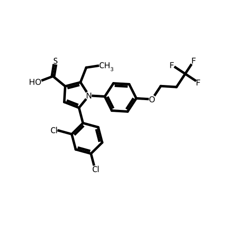 CCc1c(C(O)=S)cc(-c2ccc(Cl)cc2Cl)n1-c1ccc(OCCC(F)(F)F)cc1